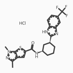 Cc1nn(C)c2sc(C(=O)N[C@@H]3CCC[C@H](c4nc5cc(C(F)(F)F)ccc5[nH]4)C3)cc12.Cl